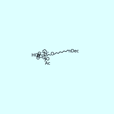 CCCCCCCCCCCCCCCCCCOCCCC(COP(=O)([O-])O)(OC(=O)CC(C)=O)[N+]1(C)CCCC1